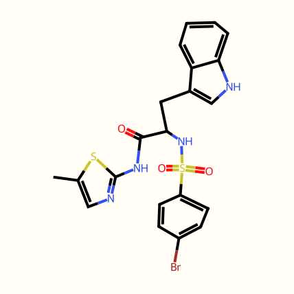 Cc1cnc(NC(=O)C(Cc2c[nH]c3ccccc23)NS(=O)(=O)c2ccc(Br)cc2)s1